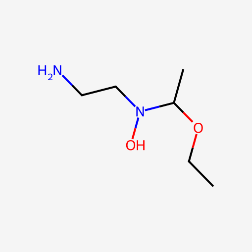 CCOC(C)N(O)CCN